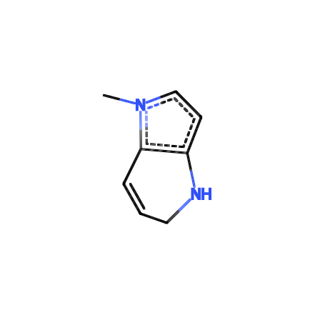 Cn1ccc2c1C=CCN2